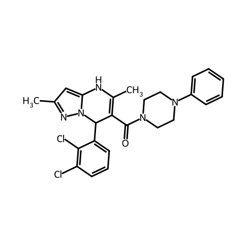 CC1=C(C(=O)N2CCN(c3ccccc3)CC2)C(c2cccc(Cl)c2Cl)n2nc(C)cc2N1